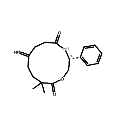 CC1(C)CCC(=N)CCC(=O)N[C@H](c2ccccc2)COC1=O